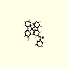 Fc1ccc2c(c1)C(c1ccccc1)(c1ccc(Nc3ccccc3)cc1)c1ccccc1-2